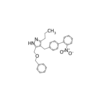 CCCc1n[nH]c(COCc2ccccc2)c1Cc1ccc(-c2ccccc2[N+](=O)[O-])cc1